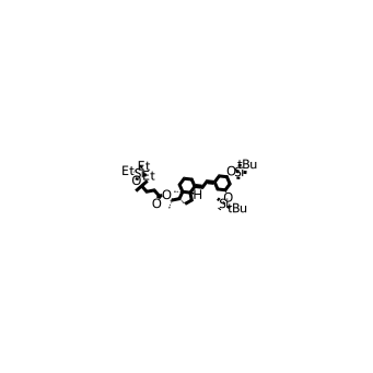 CC[Si](CC)(CC)OC(C)(C)CCC(=O)O[C@@H](C)[C@H]1CC[C@H]2/C(=C/C=C3C[C@@H](O[Si](C)(C)C(C)(C)C)C[C@H](O[Si](C)(C)C(C)(C)C)C3)CCC[C@]12C